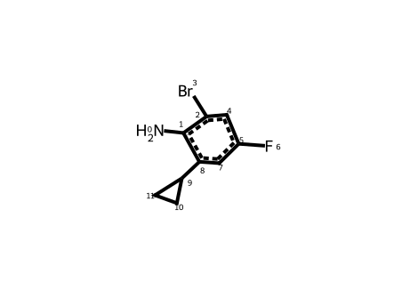 Nc1c(Br)cc(F)cc1C1CC1